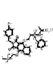 CCOC(=O)C(C)NP(=O)(CCOc1c2c(c(OCC[Si](C)(C)C)c3ncccc13)C(=O)N(Cc1ccc(F)cc1)C2=O)Oc1ccccc1